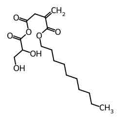 C=C(CC(=O)OC(=O)C(O)CO)C(=O)OCCCCCCCCCC